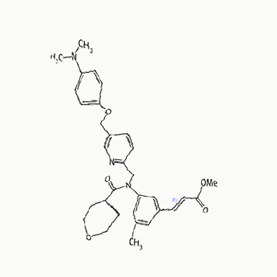 COC(=O)/C=C/c1cc(C)cc(N(Cc2ccc(COc3ccc(N(C)C)cc3)cn2)C(=O)C2CCOCC2)c1